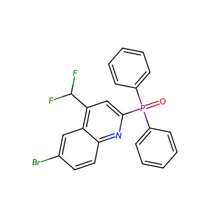 O=P(c1ccccc1)(c1ccccc1)c1cc(C(F)F)c2cc(Br)ccc2n1